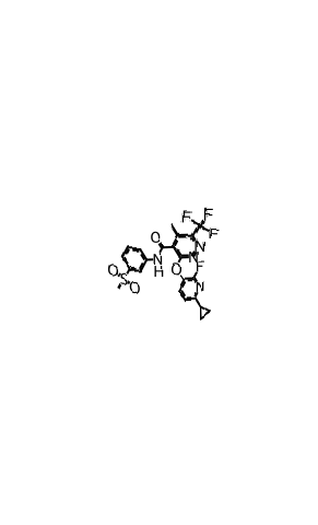 Cc1c(C(F)(F)F)nnc(Oc2ccc(C3CC3)nc2F)c1C(=O)Nc1cccc(S(C)(=O)=O)c1